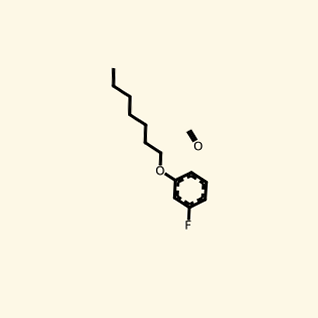 C=O.CCCCCCCOc1cccc(F)c1